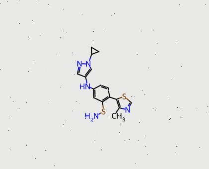 Cc1ncsc1-c1ccc(Nc2cnn(C3CC3)c2)cc1SN